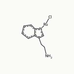 NCCc1c[n]([Ru][Cl])c2ccccc12